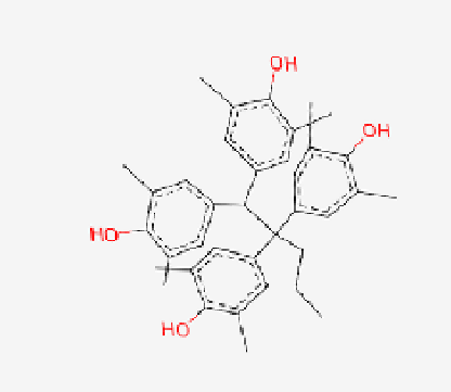 CCCC(c1cc(C)c(O)c(C)c1)(c1cc(C)c(O)c(C)c1)C(c1cc(C)c(O)c(C)c1)c1cc(C)c(O)c(C)c1